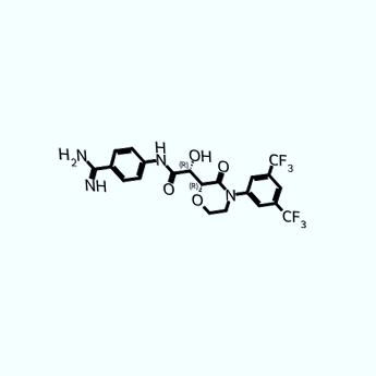 N=C(N)c1ccc(NC(=O)[C@H](O)[C@H]2OCCN(c3cc(C(F)(F)F)cc(C(F)(F)F)c3)C2=O)cc1